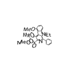 CCn1c2cccc(OC)c2c2c(OC)c(C(=O)OOC)nc(-c3ccccc3)c21